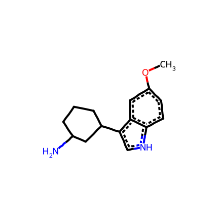 COc1ccc2[nH]cc(C3CCCC(N)C3)c2c1